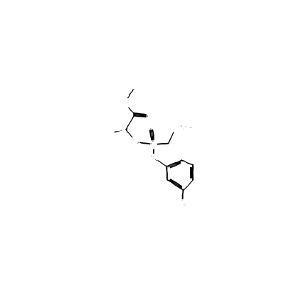 COCP(=O)(Nc1cccc(Br)c1)N[C@@H](C)C(=O)OC(C)C